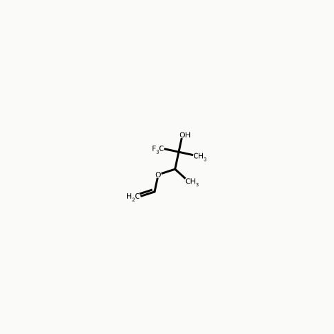 C=COC(C)C(C)(O)C(F)(F)F